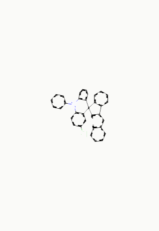 Clc1ccc2c(c1)C1(c3ccccc3-c3cc4ccccc4cc31)c1ccccc1N2c1ccccc1